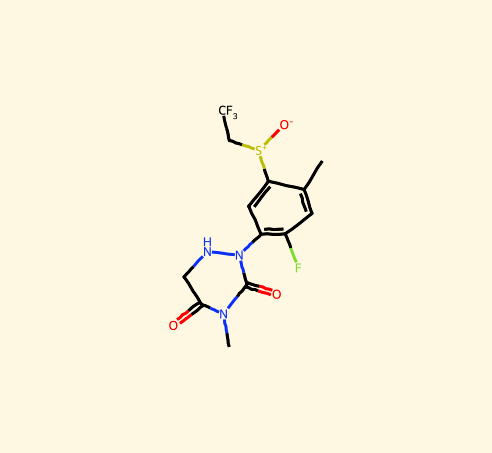 Cc1cc(F)c(N2NCC(=O)N(C)C2=O)cc1[S+]([O-])CC(F)(F)F